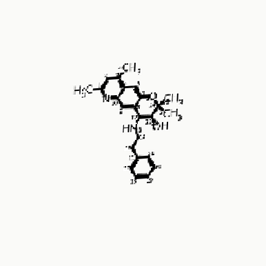 Cc1cc(C)c2cc3c(cc2n1)C(NCCc1ccccc1)C(O)C(C)(C)O3